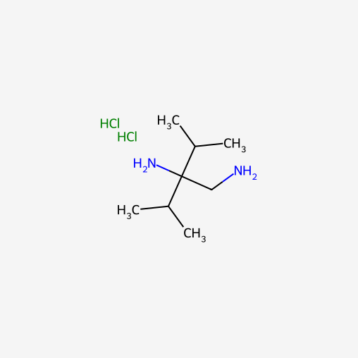 CC(C)C(N)(CN)C(C)C.Cl.Cl